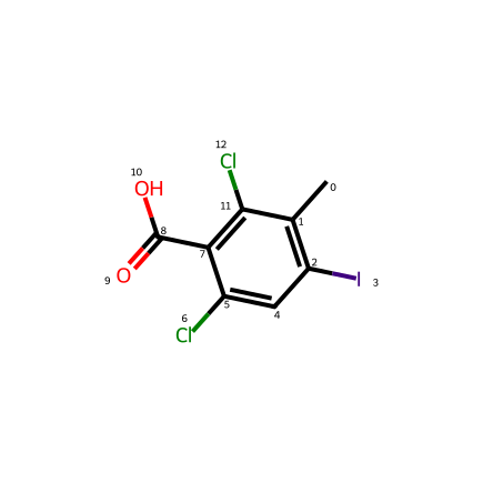 Cc1c(I)cc(Cl)c(C(=O)O)c1Cl